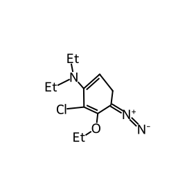 CCOC1=C(Cl)C(N(CC)CC)=CCC1=[N+]=[N-]